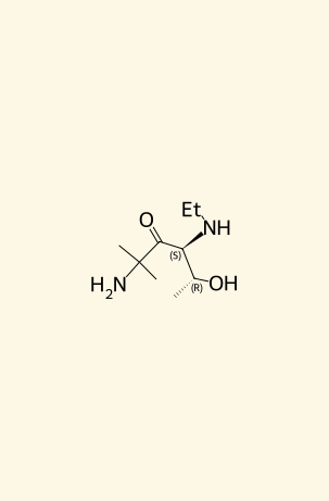 CCN[C@H](C(=O)C(C)(C)N)[C@@H](C)O